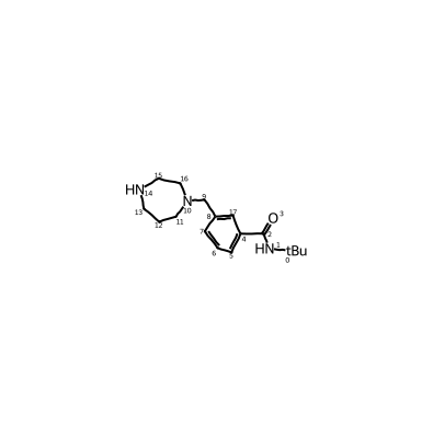 CC(C)(C)NC(=O)c1cccc(CN2CCCNCC2)c1